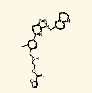 Cc1cc(-c2ccc3nnn(Cc4ccc5ncccc5c4)c3n2)ccc1CNCCOC(=O)c1ccco1